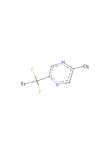 CCC(F)(F)c1cnc(C#N)cn1